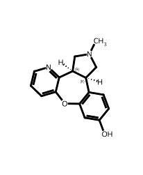 CN1C[C@@H]2c3ncccc3Oc3cc(O)ccc3[C@@H]2C1